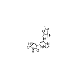 O=c1[nH]cc(-c2cc(N3C[C@H](OC(F)F)C(F)(F)C3)c3nccn3n2)c(=O)[nH]1